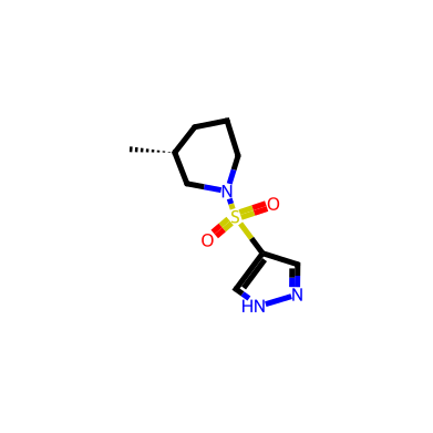 C[C@@H]1CCCN(S(=O)(=O)c2cn[nH]c2)C1